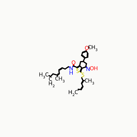 C=C/C=C\C=C(/C)CSc1sc(C(=O)NCC/C=C\C=C(\C)CC(=C)C)c2c1/C(=N/O)CC(c1ccc(OC)cc1)C2